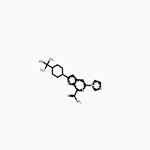 CC(C)(O)C1CCC(c2cc3cc(-n4ccnc4)nc(C(N)=O)c3s2)CC1